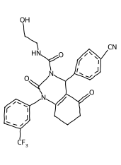 N#Cc1ccc(C2C3=C(CCCC3=O)N(c3cccc(C(F)(F)F)c3)C(=O)N2C(=O)NCCO)cc1